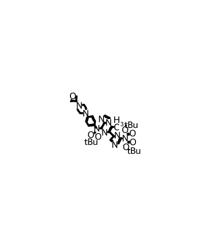 Cc1c(-c2cncc(N(C(=O)OC(C)(C)C)C(=O)OC(C)(C)C)n2)nc(N(C(=O)OC(C)(C)C)c2ccc(N3CCN(C4COC4)CC3)cc2)c2nccn12